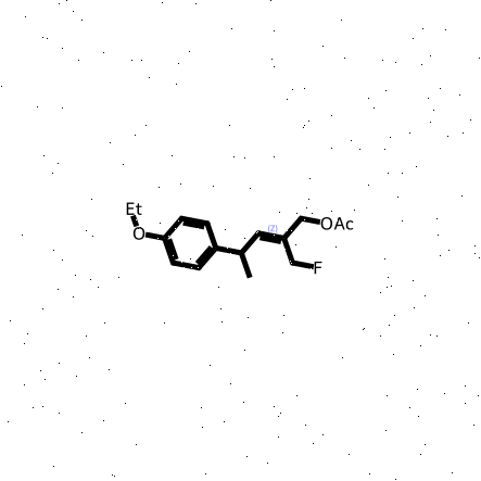 CCOc1ccc(C(C)/C=C(\CF)COC(C)=O)cc1